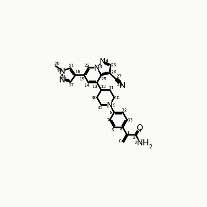 C=C(C(N)=O)c1ccc(N2CCC(c3cc(-c4cnn(C)c4)cn4ncc(C#N)c34)CC2)cc1